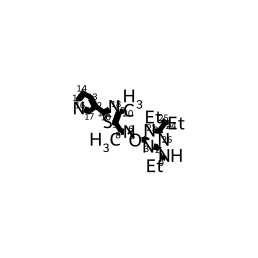 CCNc1nc(O/N=C(\C)c2sc(-c3cccnc3)nc2C)nc(C(CC)CC)n1